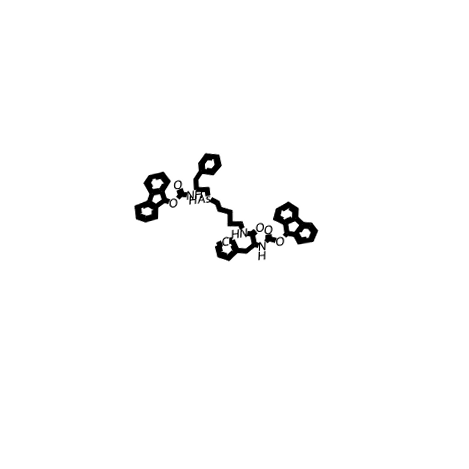 O=C(NC(C[AsH]CCCCCNC(=O)C(Cc1ccccc1)NC(=O)OC1c2ccccc2-c2ccccc21)Cc1ccccc1)OC1c2ccccc2-c2ccccc21